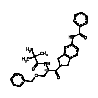 CC(C)(N)C(=O)N[C@H](COCc1ccccc1)C(=O)N1Cc2ccc(NC(=O)c3ccccc3)cc2C1